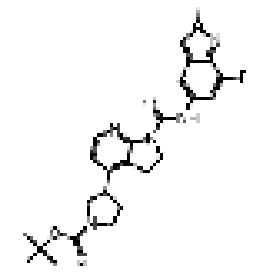 Cn1cc2cc(NC(=O)N3CCc4c(C5CCN(C(=O)OC(C)(C)C)C5)ccnc43)cc(F)c2n1